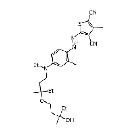 CCN(CCC(C)(CC)OCCC(C)(O)CC)c1ccc(/N=N/c2sc(C#N)c(C)c2C#N)c(C)c1